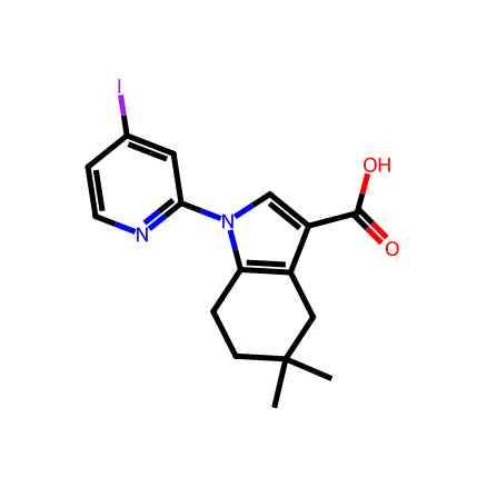 CC1(C)CCc2c(c(C(=O)O)cn2-c2cc(I)ccn2)C1